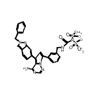 CS(=O)(=O)N(C(=O)NCc1cccc(-c2cc(-c3ccc4cn(Cc5ccccc5)nc4c3)c3c(N)ncnn23)c1)S(C)(=O)=O